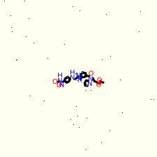 CC1OC(CCN(C(=O)c2ccc3c(c2)nc(CNc2ccc(-c4noc(=O)[nH]4)cc2)n3C)c2ccccn2)O1